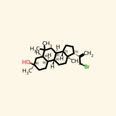 C=C(CBr)[C@H]1CC[C@H]2[C@@H]3CC(C)(C)[C@@H]4C[C@](C)(O)CC[C@@H]4[C@H]3CC[C@]12C